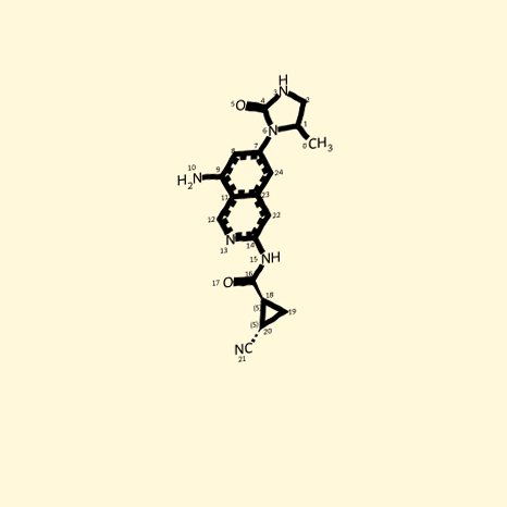 CC1CNC(=O)N1c1cc(N)c2cnc(NC(=O)[C@H]3C[C@@H]3C#N)cc2c1